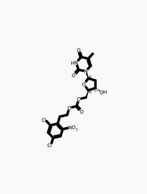 Cc1cn([C@H]2C[C@H](O)[C@@H](COC(=O)OCCc3c(Cl)cc(Cl)cc3[N+](=O)[O-])O2)c(=O)[nH]c1=O